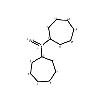 [N-]=[N+](C1CCCCCC1)C1CCCCCC1